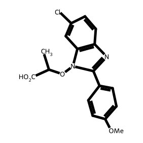 COc1ccc(-c2nc3ccc(Cl)cc3n2OC(C)C(=O)O)cc1